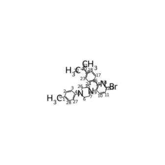 Cc1ccc(N2CCN(c3ccc(Br)nc3-c3ccc(C(C)C)cc3)CC2)cc1